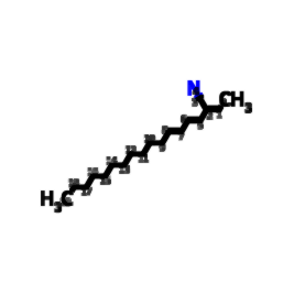 CC=C(C#N)C=CC=CCCCCCCCCCCC